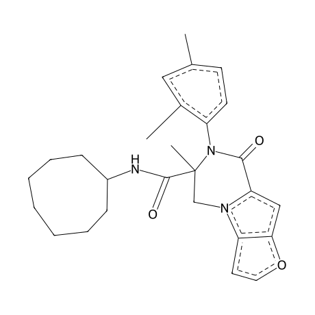 Cc1ccc(N2C(=O)c3cc4occc4n3CC2(C)C(=O)NC2CCCCCCC2)c(C)c1